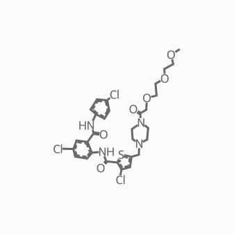 COCCOCCOCC(=O)N1CCN(Cc2cc(Cl)c(C(=O)Nc3ccc(Cl)cc3C(=O)Nc3ccc(Cl)cc3)s2)CC1